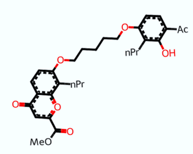 CCCc1c(OCCCCCOc2ccc3c(=O)cc(C(=O)OC)oc3c2CCC)ccc(C(C)=O)c1O